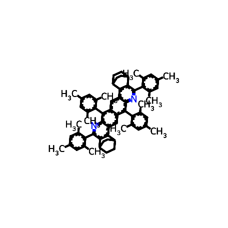 Cc1cc(C)c(-c2nc3c(-c4c(C)cc(C)cc4C)c4cc5c6c(c(-c7c(C)cc(C)cc7C)nc5c(-c5c(C)cc(C)cc5C)c4cc3c3c2C2CCC3CC2)C2CCC6CC2)c(C)c1